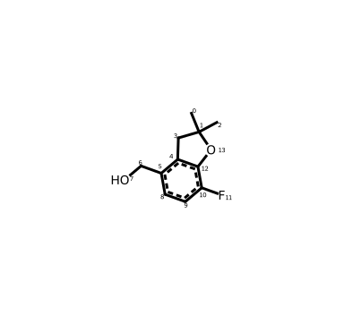 CC1(C)Cc2c(CO)ccc(F)c2O1